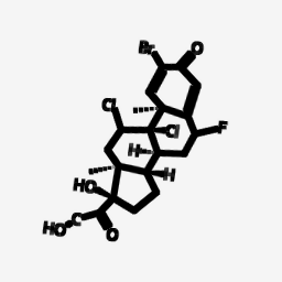 C[C@]12C=C(Br)C(=O)C=C1C(F)C[C@H]1[C@@H]3CC[C@](O)(C(=O)CO)[C@@]3(C)CC(Cl)[C@@]12Cl